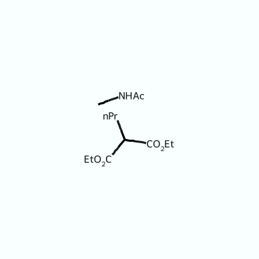 CCCC(C(=O)OCC)C(=O)OCC.CNC(C)=O